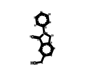 O=C1c2cc(CO)ccc2CN1c1ccccc1